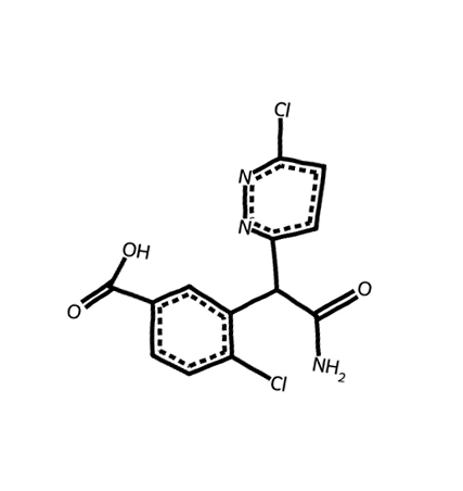 NC(=O)C(c1ccc(Cl)nn1)c1cc(C(=O)O)ccc1Cl